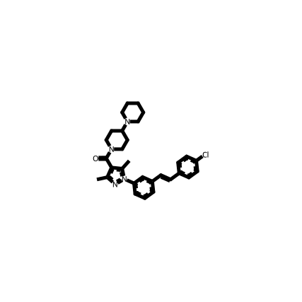 Cc1nn(-c2cccc(C=Cc3ccc(Cl)cc3)c2)c(C)c1C(=O)N1CCC(N2CCCCC2)CC1